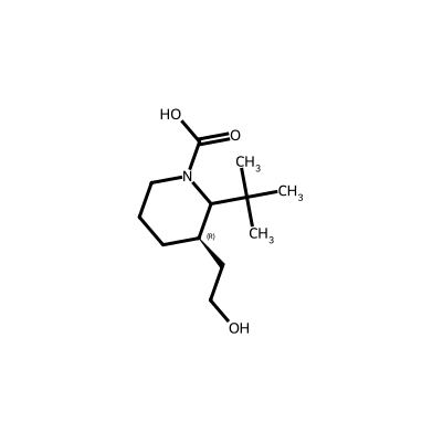 CC(C)(C)C1[C@@H](CCO)CCCN1C(=O)O